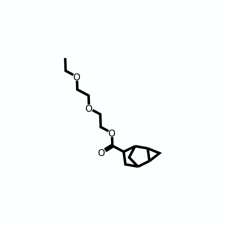 CCOCCOCCOC(=O)C1CC2CC1C1CC21